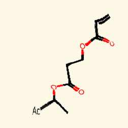 C=CC(=O)OCCC(=O)OC(C)C(C)=O